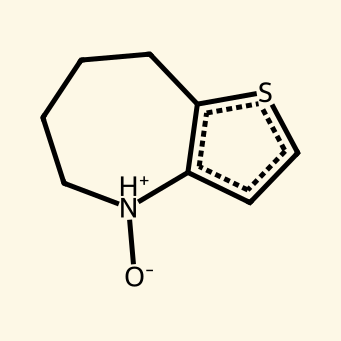 [O-][NH+]1CCCCc2sccc21